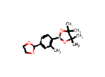 Cc1cc(C2OCCO2)ccc1B1OC(C)(C)C(C)(C)O1